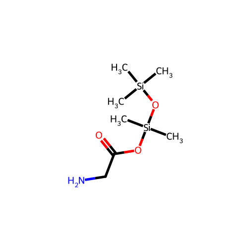 C[Si](C)(C)O[Si](C)(C)OC(=O)CN